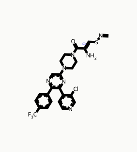 C=NS/C=C(\N)C(=O)N1CCN(c2cnc(-c3ccc(C(F)(F)F)cc3)c(-c3ccncc3Cl)n2)CC1